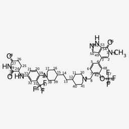 Cn1cc(-c2ccc(CN3CCC(CCC4CCN(c5ccc(NC6CCC(=O)NC6=O)cc5C(F)(F)F)CC4)CC3)c(OC(F)(F)F)c2)c2cn[nH]c2c1=O